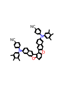 Cc1cc(N(c2ccc(C#N)cc2)c2ccc3cc4c(cc3c2)oc2ccc3oc5cc6cc(N(c7ccc(C#N)cc7)c7cc(C)c(C)c(C)c7)ccc6cc5c3c24)cc(C)c1C